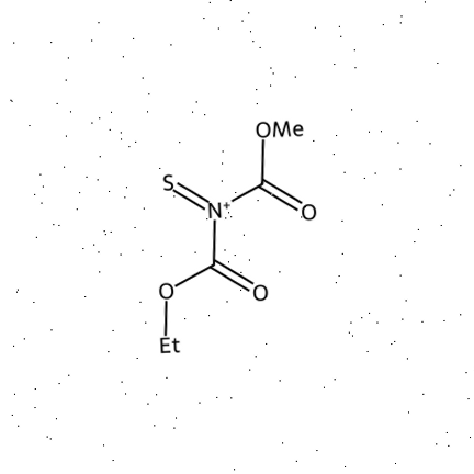 CCOC(=O)[N+](=S)C(=O)OC